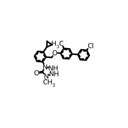 Cc1cc(-c2cccc(Cl)c2)ccc1OCc1c(C2CC2)cccc1N1NNN(C)C1=O